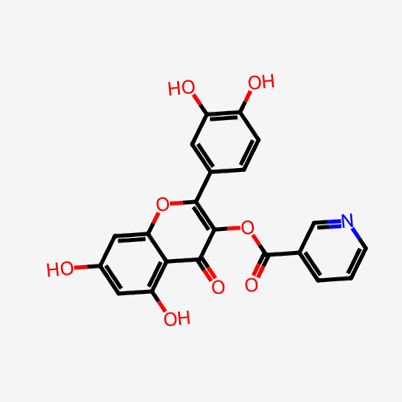 O=C(Oc1c(-c2ccc(O)c(O)c2)oc2cc(O)cc(O)c2c1=O)c1cccnc1